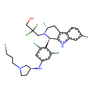 C[C@@H]1Cc2c([nH]c3cc(F)ccc23)[C@@H](c2c(F)cc(N[C@H]3CCN(CCCF)C3)cc2F)N1CC(F)(F)CO